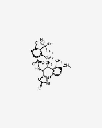 COc1c(S(=O)(=O)NC(c2n[nH]c(=O)o2)C(C)c2c(F)ccc(C)c2C)ccc(Cl)c1C(C)(C)O